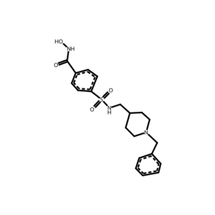 O=C(NO)c1ccc(S(=O)(=O)NCC2CCN(Cc3ccccc3)CC2)cc1